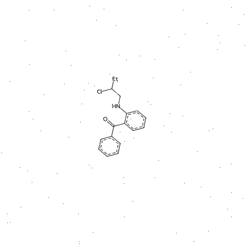 CCC(Cl)CNc1ccccc1C(=O)c1ccccc1